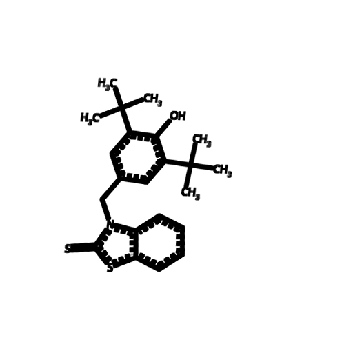 CC(C)(C)c1cc(Cn2c(=S)sc3ccccc32)cc(C(C)(C)C)c1O